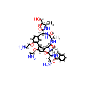 Cc1ccccc1C(=O)N[C@@H](CCN)C(=O)N(C)[C@@H]1C(=O)N[C@@H](C)C(=O)N[C@H](C(=O)N[C@@H](C)C(=O)CO)Cc2ccc(OCCN)c(c2)-c2cc1ccc2OCCN